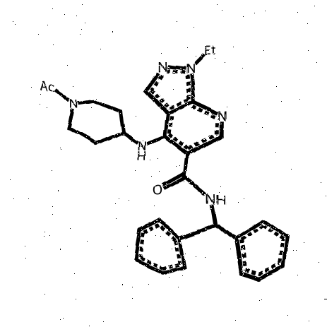 CCn1ncc2c(NC3CCN(C(C)=O)CC3)c(C(=O)NC(c3ccccc3)c3ccccc3)cnc21